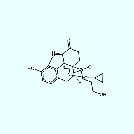 O=C1CCC2(OCCCO)[C@H]3Cc4ccc(O)c5c4[C@@]2(CC[N+]3([O-])CC2CC2)[C@H]1O5